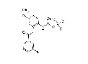 COc1ccc(NC(=O)OC(C)(C)C)c(CC(=O)c2cccc(F)c2)c1